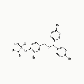 O=P(O)(Oc1ccc(CSC(c2ccc(Br)cc2)c2ccc(Br)cc2)cc1Br)C(F)F